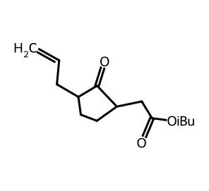 C=CCC1CCC(CC(=O)OCC(C)C)C1=O